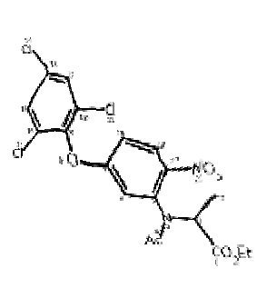 CCOC(=O)C(C)N(C(C)=O)c1cc(Oc2c(Cl)cc(Cl)cc2Cl)ccc1[N+](=O)[O-]